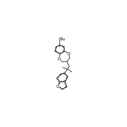 CC(C)(C)c1ccc2c(c1)OCC(CC(C)(C)c1ccc3occc3c1)CO2